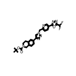 CC(C)(C)OC(=O)N1CCc2cc(-c3cn(Cc4ccc(-c5nnc(C(F)F)o5)cn4)nn3)ccc2C1